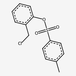 Cc1ccc(S(=O)(=O)Oc2ccccc2CCl)cc1